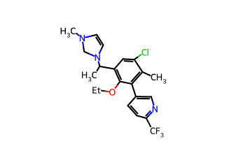 CCOc1c(C(C)N2C=CN(C)C2)cc(Cl)c(C)c1-c1ccc(C(F)(F)F)nc1